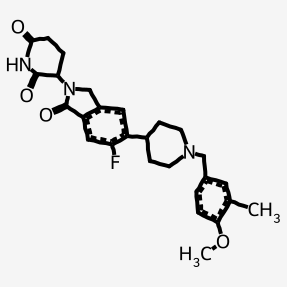 COc1ccc(CN2CCC(c3cc4c(cc3F)C(=O)N(C3CCC(=O)NC3=O)C4)CC2)cc1C